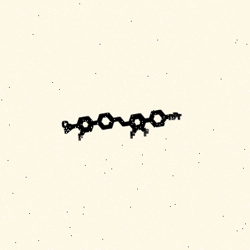 CCCC1CCC(c2ccc(CCC3CCC(c4ccc(C5CO5)c(F)c4)CC3)c(F)c2F)CC1